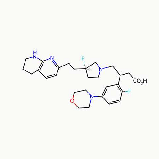 O=C(O)CC(CN1CC[C@@](F)(CCc2ccc3c(n2)NCCC3)C1)c1cc(N2CCOCC2)ccc1F